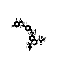 C[C@@H](NC(=O)C1CCC(NS(=O)(=O)c2ccc3c(c2)C(NC(=O)C(F)(F)F)CCN3C(=O)C(F)(F)F)CC1)c1ccc(F)cc1